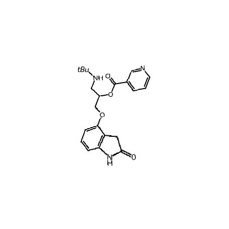 CC(C)(C)NCC(COc1cccc2c1CC(=O)N2)OC(=O)c1cccnc1